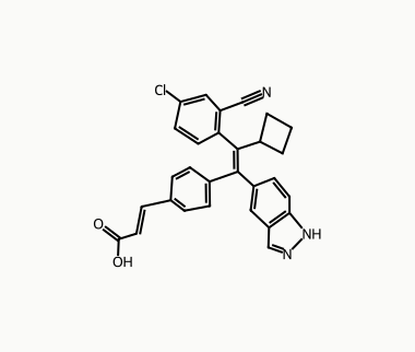 N#Cc1cc(Cl)ccc1/C(=C(\c1ccc(/C=C/C(=O)O)cc1)c1ccc2[nH]ncc2c1)C1CCC1